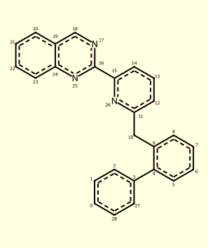 c1ccc(-c2ccccc2Cc2cccc(-c3ncc4ccccc4n3)n2)cc1